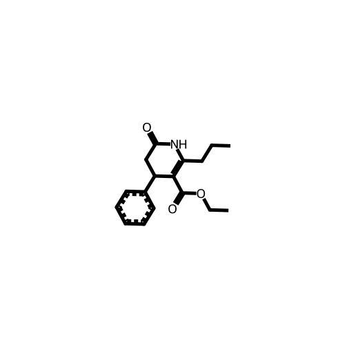 CCCC1=C(C(=O)OCC)C(c2ccccc2)CC(=O)N1